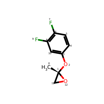 C[C@]1(Oc2ccc(F)c(F)c2)CO1